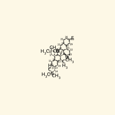 Cc1c2c(c(CC(C)(C)C)c3ccc(CC(C)(C)C)cc13)Oc1cc3ccc(F)cc3c3cc[n+](C)c-2c13